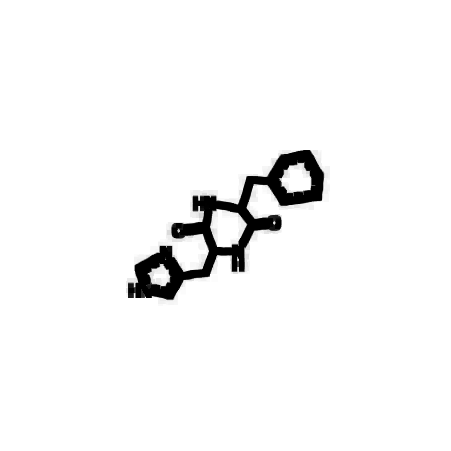 O=C1NC(Cc2c[nH]cn2)C(=O)NC1Cc1ccccc1